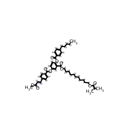 C=C(C)C(=O)OCCCCCCCCCCCOC(=O)c1cc(OC(=O)c2ccc(/C=C/C(=O)OC)cc2)ccc1OC(=O)c1ccc(CCCCC)cc1